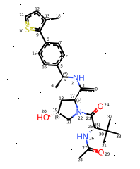 C=C(N[C@@H](C)c1ccc(-c2sccc2C)cc1)[C@@H]1C[C@@H](O)CN1C(=O)[C@@H](NC(C)=O)C(C)(C)C